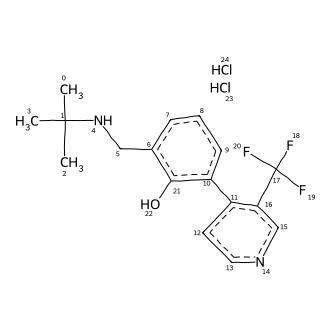 CC(C)(C)NCc1cccc(-c2ccncc2C(F)(F)F)c1O.Cl.Cl